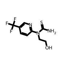 NC(=S)N(CCO)c1ccc(C(F)(F)F)cn1